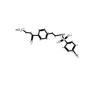 O=C(O)CCC(=O)c1ccc(CCNS(=O)(=O)c2ccc(Br)cc2)cc1